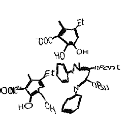 CCCCCC(=Nc1ccccc1)C(CCCC)=Nc1ccccc1.CCc1cc(O)c(O)c(C(=O)[O-])c1C.CCc1cc(O)c(O)c(C(=O)[O-])c1C.[Ni+2]